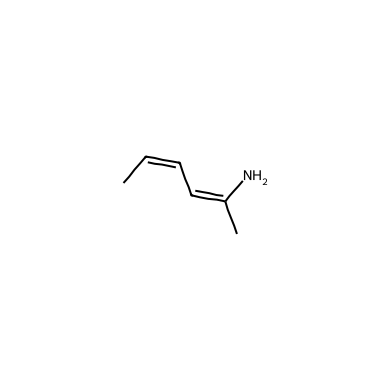 C/C=C\C=C(\C)N